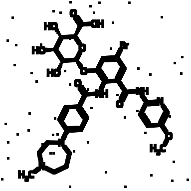 COc1ccc(NC(=O)c2cc(Br)cc(O[C@@H]3O[C@H](C(=O)O)[C@@H](O)[C@H](O)[C@H]3O)c2NC(=O)c2ccc(N3CCCN(C)CC3)cc2)nc1